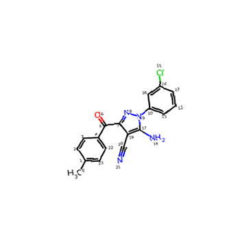 Cc1ccc(C(=O)c2nn(-c3cccc(Cl)c3)c(N)c2C#N)cc1